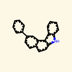 c1ccc(-c2ccc3ccc4[nH]c5ccccc5c4c3c2)cc1